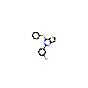 Brc1cccc(-c2nc(Oc3ccccc3)c3sccc3n2)c1